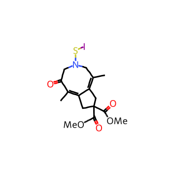 COC(=O)C1(C(=O)OC)CC2=C(\C)CN(SI)CC(=O)/C(C)=C\2C1